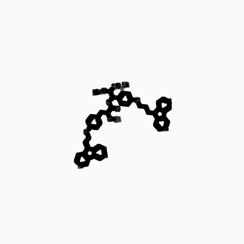 CCOC(=O)C(OC)C(OC(=O)C(Cc1ccc(OCC=C2c3ccncc3-c3cnccc32)cc1)OCC)c1ccc(OCCCC2c3ccncc3-c3cnccc32)cc1